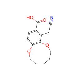 N#CCc1c(C(=O)O)ccc2c1OCCCCCO2